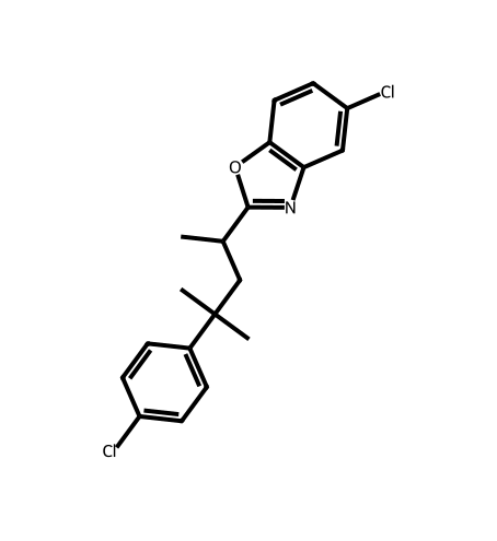 CC(CC(C)(C)c1ccc(Cl)cc1)c1nc2cc(Cl)ccc2o1